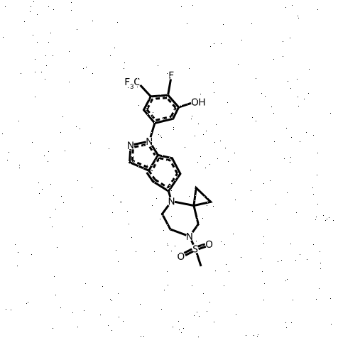 CS(=O)(=O)N1CCN(c2ccc3c(cnn3-c3cc(O)c(F)c(C(F)(F)F)c3)c2)C2(CC2)C1